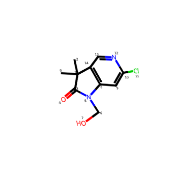 CC1(C)C(=O)N(CO)c2cc(Cl)ncc21